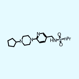 CCCS(=O)(=O)NCc1ccc(N2CCN(C3CCCC3)CC2)nc1